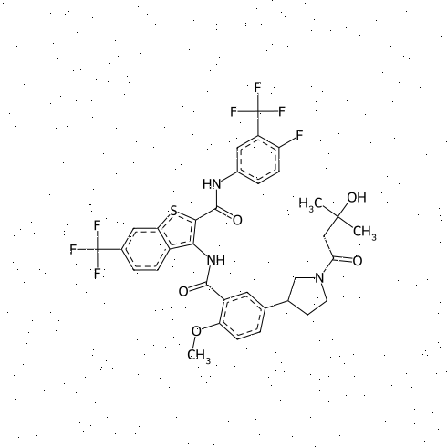 COc1ccc(C2CCN(C(=O)CC(C)(C)O)C2)cc1C(=O)Nc1c(C(=O)Nc2ccc(F)c(C(F)(F)F)c2)sc2cc(C(F)(F)F)ccc12